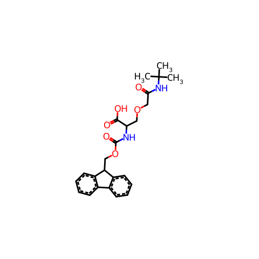 CC(C)(C)NC(=O)COCC(NC(=O)OCC1c2ccccc2-c2ccccc21)C(=O)O